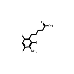 Nc1c(I)cc(I)c(CCCCC(=O)O)c1I